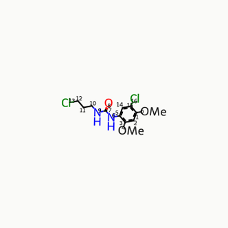 COc1cc(OC)c(NC(=O)NCCCCl)cc1Cl